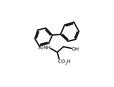 CC(=O)NC(CO)C(=O)O.c1ccc(-c2ccccc2)cc1